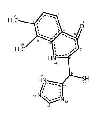 Cc1ccc2c(=O)cc(C(S)c3ncn[nH]3)[nH]c2c1C